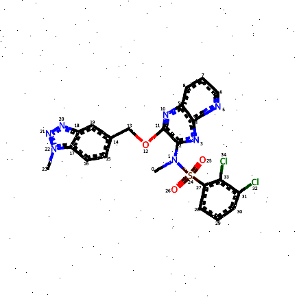 CN(c1nc2ncccc2nc1OCc1ccc2c(c1)nnn2C)S(=O)(=O)c1cccc(Cl)c1Cl